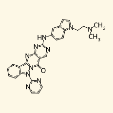 CN(C)CCn1ccc2cc(Nc3ncc4c(=O)n5c(nc4n3)c3ccccc3n5-c3ncccn3)ccc21